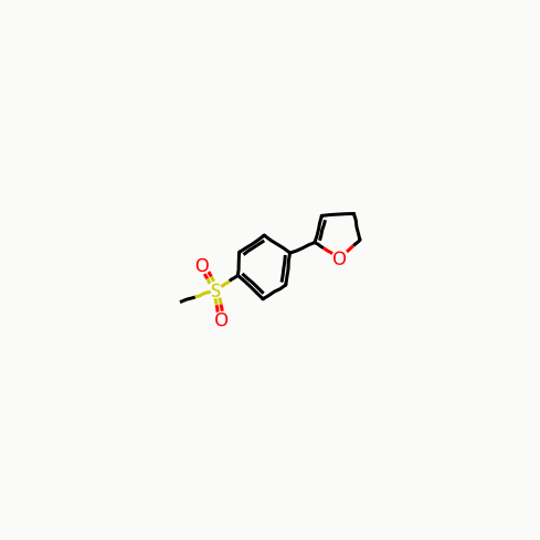 CS(=O)(=O)c1ccc(C2=CCCO2)cc1